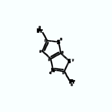 CC(C)c1cc2nc(C(C)C)sc2s1